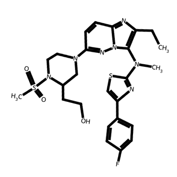 CCc1nc2ccc(N3CCN(S(C)(=O)=O)C(CCO)C3)nn2c1N(C)c1nc(-c2ccc(F)cc2)cs1